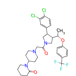 CC(Oc1ccc(C(F)(F)F)cc1)C1CN(C(=O)CN2CCC(N3CCCCC3=O)CC2)CC1c1ccc(Cl)c(Cl)c1